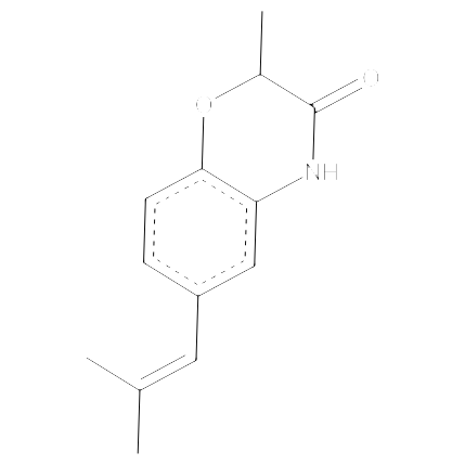 CC(C)=Cc1ccc2c(c1)NC(=O)C(C)O2